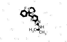 CC(C)Nc1nc2ccc(CC3(c4ccccc4F)SCCCS3)nc2s1